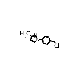 Cc1ccn(-c2ccc(CCl)cc2)n1